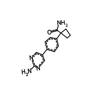 NC(=O)C1(c2ccc(-c3cnc(N)nc3)cc2)CCC1